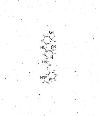 CC1(C)C[C@H](Nc2nc(NCCc3cccc4cc[nH]c34)ncc2C#N)CC[C@@H]1O